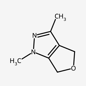 Cc1nn(C)c2c1COC2